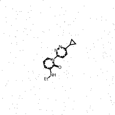 CCNc1cccn(-c2ccc(C3CC3)nn2)c1=O